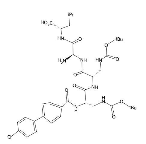 CC(C)C[C@H](NC(=O)[C@H](N)NC(=O)[C@H](CNC(=O)OC(C)(C)C)NC(=O)[C@H](CNC(=O)OC(C)(C)C)NC(=O)c1ccc(-c2ccc(Cl)cc2)cc1)C(=O)O